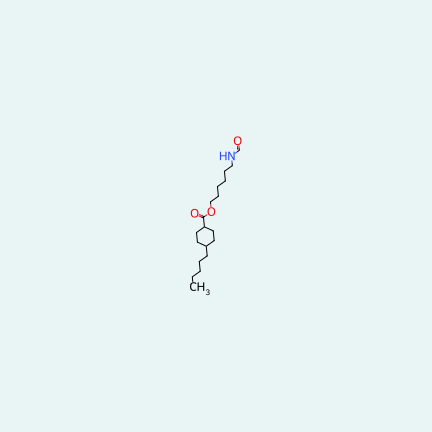 CCCCCC1CCC(C(=O)OCCCCCCNC=O)CC1